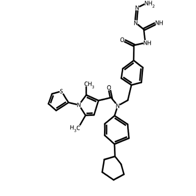 Cc1cc(C(=O)N(Cc2ccc(C(=O)NC(=N)/N=N\N)cc2)c2ccc(C3CCCCC3)cc2)c(C)n1-c1cccs1